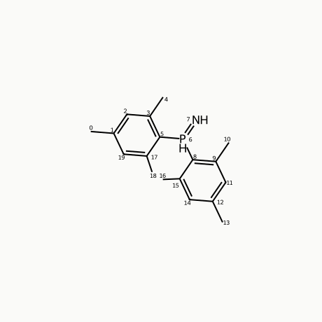 Cc1cc(C)c([PH](=N)c2c(C)cc(C)cc2C)c(C)c1